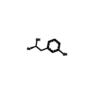 CC(=O)[C@@H](O)Cc1cccc(O)c1